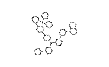 c1ccc(-c2cccc(N(c3ccc(-c4ccc5c(c4)C(c4ccccc4)(c4ccccc4)c4ccccc4-5)cc3)c3cccc(-c4cccc(-c5cccc6ccccc56)c4)c3)c2)cc1